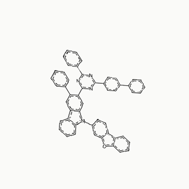 c1ccc(-c2ccc(-c3nc(-c4ccccc4)nc(-c4cc5c(cc4-c4ccccc4)c4ccccc4n5-c4ccc5c(c4)oc4ccccc45)n3)cc2)cc1